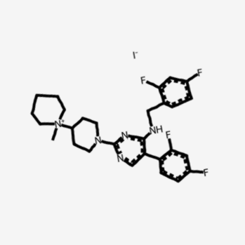 C[N+]1(C2CCN(c3ncc(-c4ccc(F)cc4F)c(NCc4ccc(F)cc4F)n3)CC2)CCCCC1.[I-]